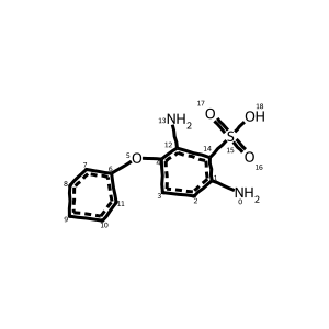 Nc1ccc(Oc2ccccc2)c(N)c1S(=O)(=O)O